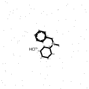 CN(Cc1ccccc1)C1CCCCC1.Cl